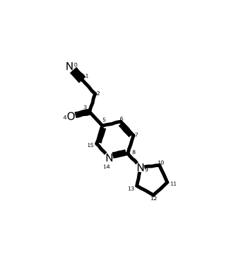 N#CCC(=O)c1ccc(N2CCCC2)nc1